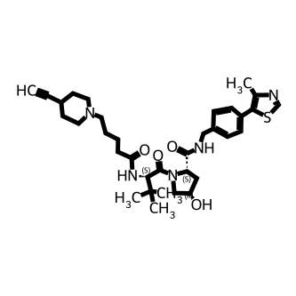 C#CC1CCN(CCCCC(=O)N[C@H](C(=O)N2C[C@H](O)C[C@H]2C(=O)NCc2ccc(-c3scnc3C)cc2)C(C)(C)C)CC1